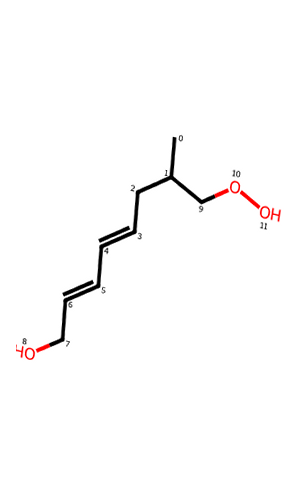 CC(C/C=C/C=C/CO)COO